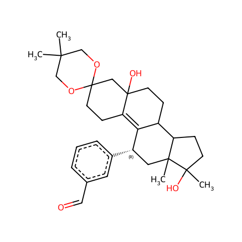 CC1(C)COC2(CCC3=C4C(CCC3(O)C2)C2CCC(C)(O)C2(C)C[C@@H]4c2cccc(C=O)c2)OC1